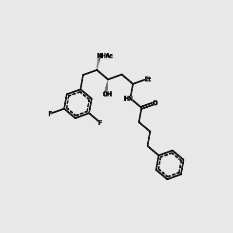 CCC(C[C@H](O)[C@H](Cc1cc(F)cc(F)c1)NC(C)=O)NC(=O)CCCc1ccccc1